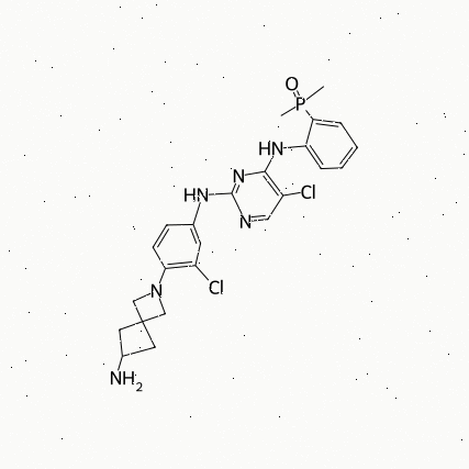 CP(C)(=O)c1ccccc1Nc1nc(Nc2ccc(N3CC4(CC(N)C4)C3)c(Cl)c2)ncc1Cl